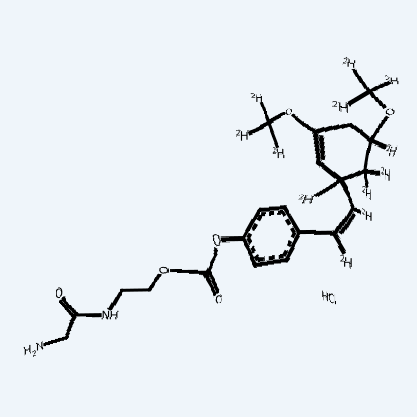 Cl.[2H]C(=C([2H])C1([2H])C=C(OC([2H])([2H])[2H])CC([2H])(OC([2H])([2H])[2H])C1([2H])[2H])c1ccc(OC(=O)OCCNC(=O)CN)cc1